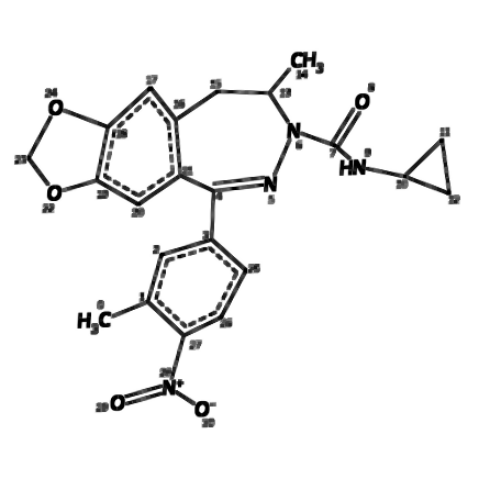 Cc1cc(C2=NN(C(=O)NC3CC3)C(C)Cc3cc4c(cc32)OCO4)ccc1[N+](=O)[O-]